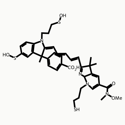 CON(C)C(=O)C1=CN(CCCS)C2N=C(/C=C/C=C/C=C3/N(CCCSO)c4ccc(SO)cc4C3(C)c3ccc(C(=O)O)cc3)C(C)(C)C2=C1